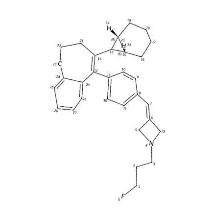 FCCCN1CC(=Cc2ccc(C3=C(C4[C@H]5CCCC[C@@H]45)CCCc4ccccc43)cc2)C1